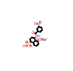 O=C(Nc1ccc(S(=O)(=O)O)c2cccc(O)c12)c1cccc([N+](=O)[O-])c1.[Na+]